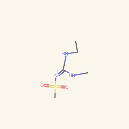 CCN/C(=N/S(C)(=O)=O)NC